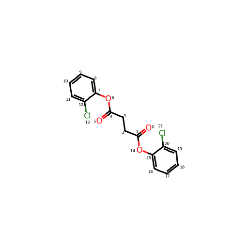 O=C(CCC(=O)Oc1ccccc1Cl)Oc1ccccc1Cl